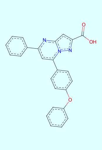 O=C(O)c1cc2nc(-c3ccccc3)cc(-c3ccc(Oc4ccccc4)cc3)n2n1